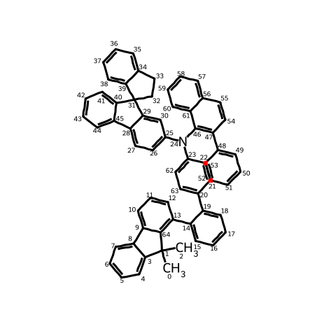 CC1(C)c2ccccc2-c2cccc(-c3ccccc3-c3ccc(N(c4ccc5c(c4)C4(CCc6ccccc64)c4ccccc4-5)c4c(-c5ccccc5)ccc5ccccc45)cc3)c21